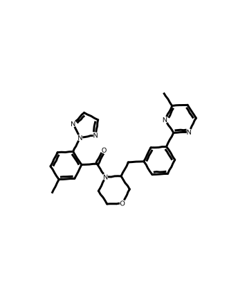 Cc1ccc(-n2nccn2)c(C(=O)N2CCOCC2Cc2cccc(-c3nccc(C)n3)c2)c1